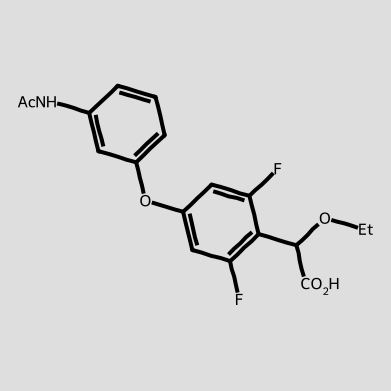 CCOC(C(=O)O)c1c(F)cc(Oc2cccc(NC(C)=O)c2)cc1F